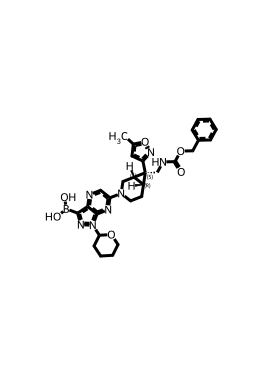 Cc1cc([C@@]2(CNC(=O)OCc3ccccc3)[C@@H]3CCN(c4cnc5c(B(O)O)nn(C6CCCCO6)c5n4)C[C@@H]32)no1